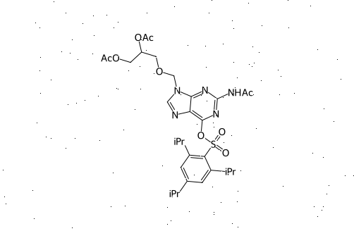 CC(=O)Nc1nc(OS(=O)(=O)c2c(C(C)C)cc(C(C)C)cc2C(C)C)c2ncn(COCC(COC(C)=O)OC(C)=O)c2n1